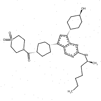 CCCCC[C@H](C)Nc1ncc2c([C@H]3CC[C@@H](C(=O)N4CCS(=O)(=O)CC4)CC3)cc([C@H]3CC[C@H](O)CC3)n2n1